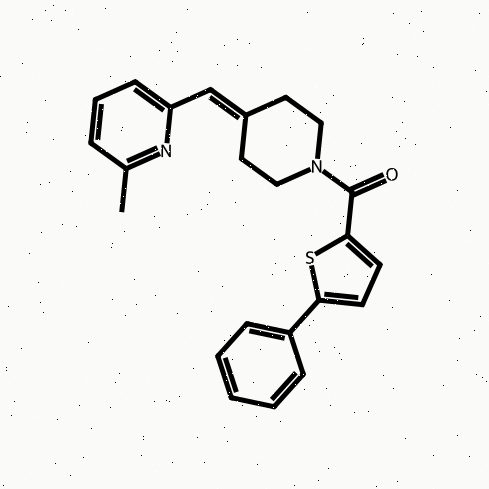 Cc1cccc(C=C2CCN(C(=O)c3ccc(-c4ccccc4)s3)CC2)n1